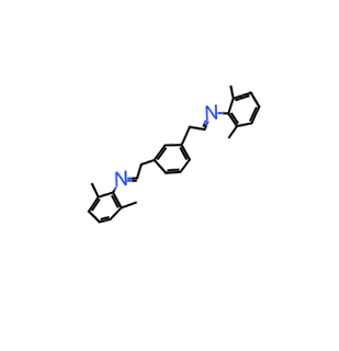 Cc1cccc(C)c1N=CCc1cccc(CC=Nc2c(C)cccc2C)c1